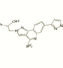 CC(C)C(O)Cn1cc2c(N)nc3cc(-c4cc[nH]n4)ccc3c2n1